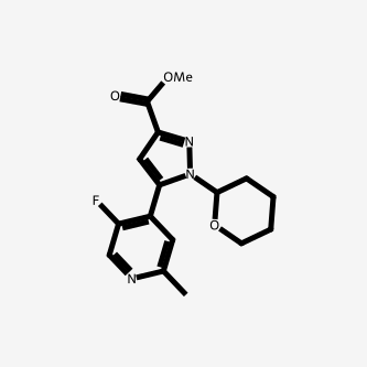 COC(=O)c1cc(-c2cc(C)ncc2F)n(C2CCCCO2)n1